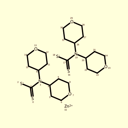 S=C([S-])N(C1CCOCC1)C1CCOCC1.S=C([S-])N(C1CCOCC1)C1CCOCC1.[Zn+2]